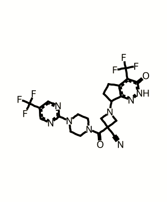 N#CC1(C(=O)N2CCN(c3ncc(C(F)(F)F)cn3)CC2)CN(C2CCc3c2n[nH]c(=O)c3C(F)(F)F)C1